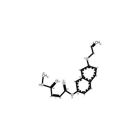 C=CCOc1ccc2ccc(OC(=O)/C=C\C(=O)OC)cc2c1